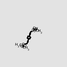 COP(C)(=O)OCCC#Cc1ccc(C#CCCOP(C)(=O)OC)cc1